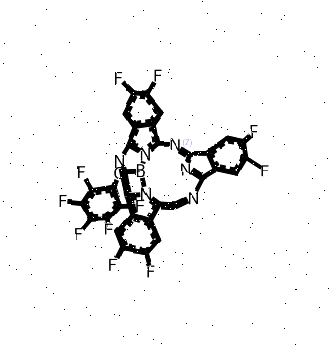 Fc1cc2c(cc1F)/C1=N/c3c4cc(F)c(F)cc4c4n3B(Oc3c(F)c(F)c(F)c(F)c3F)n3c(c5cc(F)c(F)cc5c3=N4)=C=NC2=N1